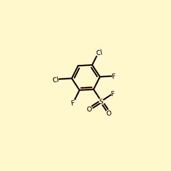 O=S(=O)(F)c1c(F)c(Cl)cc(Cl)c1F